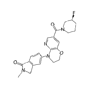 CN1Cc2cc(N3CCOc4cc(C(=O)N5CCC[C@H](F)C5)cnc43)ccc2C1=O